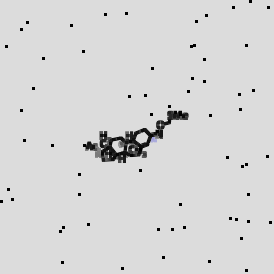 CSCO/N=C1/C=C2CC[C@H]3[C@@H]4CC[C@H](C(C)=O)[C@@]4(C)CC[C@@H]3[C@@]2(C)CC1